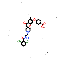 COC(=O)[C@H]1CC[C@@H](Oc2cc3c(cc2C)C(=O)CC2(CCN(CCNC(=O)c4c(Cl)cccc4Cl)CC2)O3)CC1